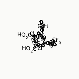 CCNC(=O)N(CC1CCN(C(=O)Nc2ccccc2)CC1)c1cccc(-c2sc(C(=O)OC(=O)c3sc(-c4cccc(NC5CCN(S(=O)(=O)c6ccccc6OC(F)(F)F)CC5)c4)c(Cl)c3OCC(=O)O)c(OCC(=O)O)c2Cl)c1